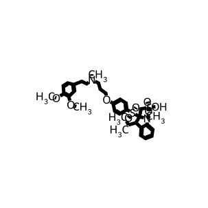 COc1ccc(CCN(C)CCCOc2ccc(S(=O)(=O)C3(CS(=O)(=O)O)C(C(C)C)c4ccccc4N3C)cc2)cc1OC